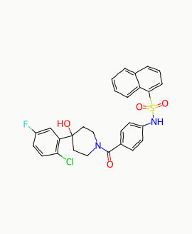 O=C(c1ccc(NS(=O)(=O)c2cccc3ccccc23)cc1)N1CCC(O)(c2cc(F)ccc2Cl)CC1